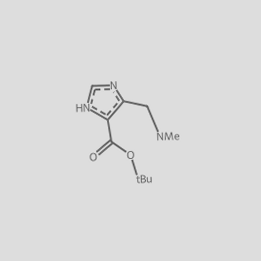 CNCc1nc[nH]c1C(=O)OC(C)(C)C